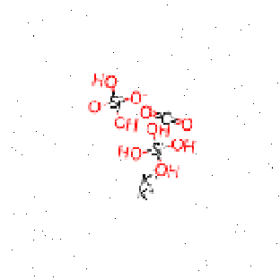 O=C=O.O[Si](O)(O)O.[K+].[K+].[O-][Si]([O-])(O)O